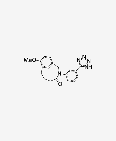 COc1ccc2cc1CCCC(=O)N(c1cccc(-c3nnn[nH]3)c1)C2